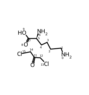 NCCCC[C@H](N)C(=O)O.O=C(CCl)CCl